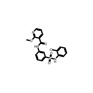 COc1ncccc1C(=O)Nc1cccc(S(=O)(=O)Nc2ccccc2Cl)c1